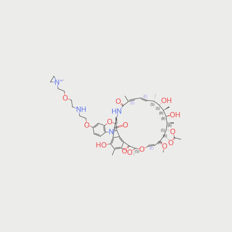 CO[C@H]1/C=C/O[C@@]2(C)Oc3c(C)c(O)c4c(=O)c(c5oc6cc(OCCNCCOCC[N+]7(C)CC7)ccc6nc-5c4c3C2=O)NC(=O)/C(C)=C\C=C\[C@H](C)[C@H](O)[C@@H](C)[C@@H](O)[C@@H](C)[C@H](OC(C)=O)[C@@H]1C